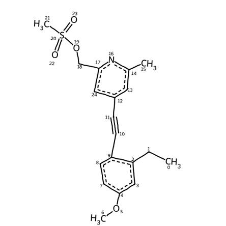 CCc1cc(OC)ccc1C#Cc1cc(C)nc(COS(C)(=O)=O)c1